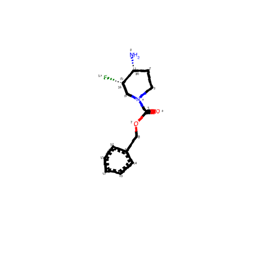 N[C@@H]1CCN(C(=O)OCc2ccccc2)C[C@@H]1F